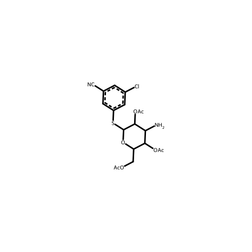 CC(=O)OCC1OC(Sc2cc(Cl)cc(C#N)c2)C(OC(C)=O)C(N)C1OC(C)=O